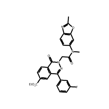 CCOC(=O)c1ccc2c(=O)n(CC(=O)N(C)c3ccc4nc(C)oc4c3)nc(-c3cccc(F)c3)c2c1